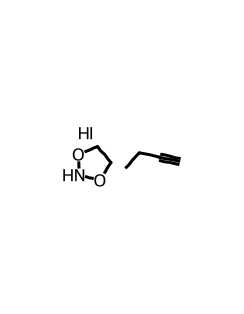 C#CCC.C1CONO1.I